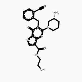 N#Cc1ccccc1Cn1c(N2CCC[C@@H](N)C2)nc2c(C(=O)NCCO)csc2c1=O